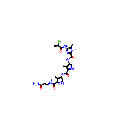 C=C(Br)C(=O)Nc1nc(C(=O)Nc2c[nH]c(C(=O)Nc3c[nH]c(C(=O)NCCC(N)=O)c3C)c2C)[nH]c1C